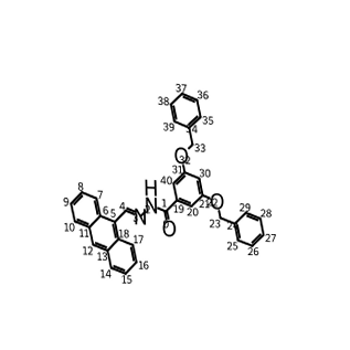 O=C(N/N=C/c1c2ccccc2cc2ccccc12)c1cc(OCc2ccccc2)cc(OCc2ccccc2)c1